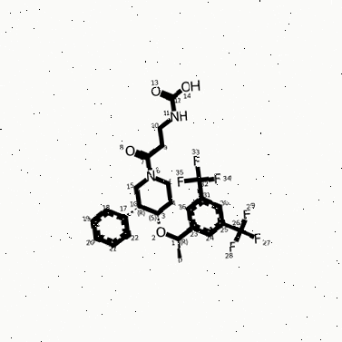 C[C@@H](O[C@H]1CCN(C(=O)CCNC(=O)O)C[C@H]1c1ccccc1)c1cc(C(F)(F)F)cc(C(F)(F)F)c1